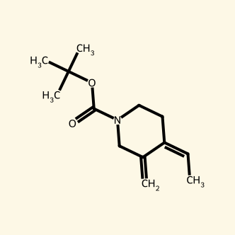 C=C1CN(C(=O)OC(C)(C)C)CC/C1=C/C